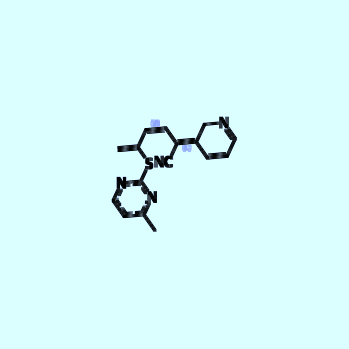 C=C(/C=C\C(C#N)=C1\C=CC=NC1)Sc1nccc(C)n1